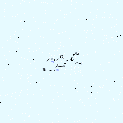 C#C/C=c1/cc(B(O)O)o/c1=C/C